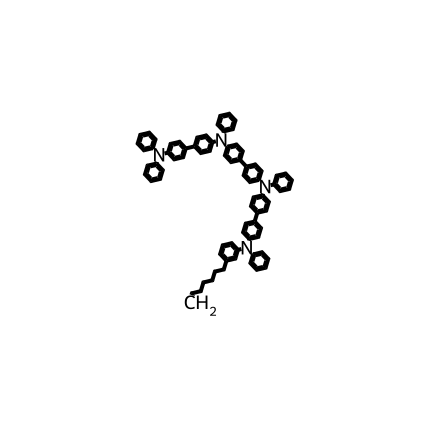 C=CCCCCCc1cccc(N(c2ccccc2)c2ccc(-c3ccc(N(c4ccccc4)c4ccc(-c5ccc(N(c6ccccc6)c6ccc(-c7ccc(N(c8ccccc8)c8ccccc8)cc7)cc6)cc5)cc4)cc3)cc2)c1